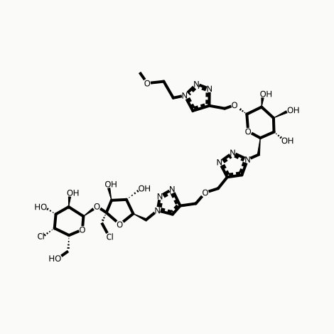 COCCn1cc(CO[C@H]2O[C@H](Cn3cc(COCc4cn(C[C@H]5O[C@@](CCl)(O[C@H]6O[C@H](CO)[C@H](Cl)[C@H](O)[C@H]6O)[C@@H](O)[C@@H]5O)nn4)nn3)[C@@H](O)[C@H](O)[C@@H]2O)nn1